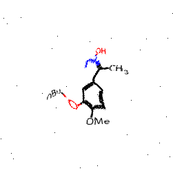 CCCCOc1cc(C(C)=NO)ccc1OC